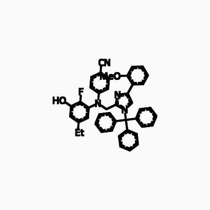 CCc1cc(O)c(F)c(N(Cc2nc(-c3ccccc3OC)cn2C(c2ccccc2)(c2ccccc2)c2ccccc2)c2ccc(C#N)cc2)c1